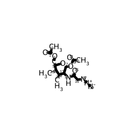 CC(=O)OCC1OC(OC(C)=O)C(NC(=O)CN=[N+]=[N-])[C@@H](C)[C@@H]1C